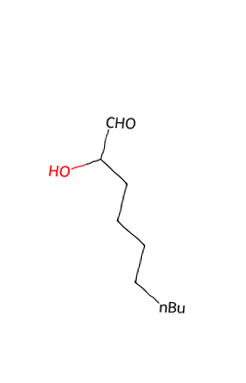 CCCCCCCCC(O)C=O